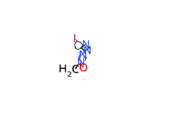 C=CC(=O)N1CCN(c2ncnc3c2CCCC(I)C3)CC1